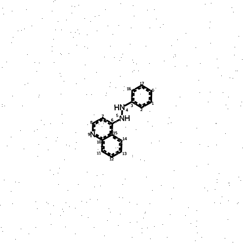 c1ccc(NNc2ccnc3ccccc23)cc1